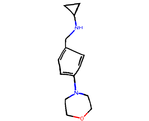 c1cc(N2CCOCC2)ccc1CNC1CC1